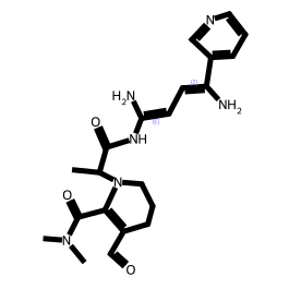 CC(C(=O)N/C(N)=C/C=C(\N)c1cccnc1)N1CCCC(C=O)=C1C(=O)N(C)C